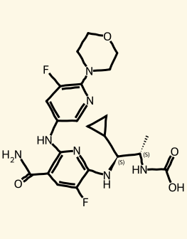 C[C@H](NC(=O)O)[C@@H](Nc1nc(Nc2cnc(N3CCOCC3)c(F)c2)c(C(N)=O)cc1F)C1CC1